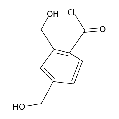 O=C(Cl)c1ccc(CO)cc1CO